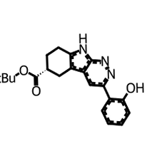 CC(C)(C)OC(=O)[C@@H]1CCc2[nH]c3nnc(-c4ccccc4O)cc3c2C1